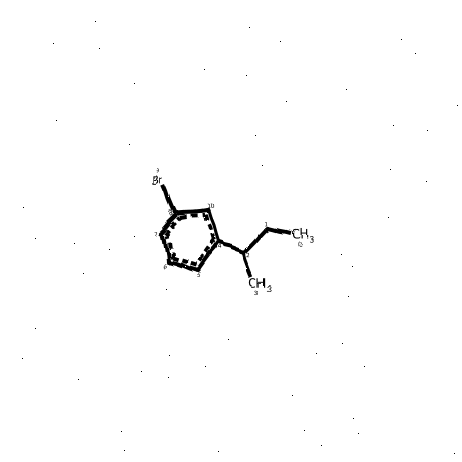 CC[C](C)c1cccc(Br)c1